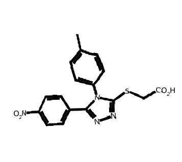 Cc1ccc(-n2c(SCC(=O)O)nnc2-c2ccc([N+](=O)[O-])cc2)cc1